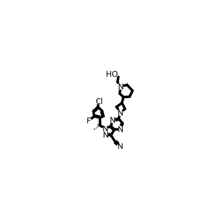 C[C@H](c1ccc(Cl)cc1F)n1nc(C#N)c2ncc(N3CC(C4CCCN(CCO)C4)C3)nc21